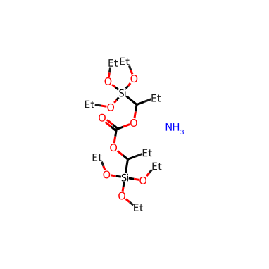 CCO[Si](OCC)(OCC)C(CC)OC(=O)OC(CC)[Si](OCC)(OCC)OCC.N